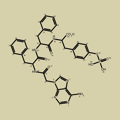 Nc1ncnc2c1ncn2CC(=O)NC(Cc1ccccc1)C(=O)NC(Cc1ccccc1)C(=O)NC(Cc1ccc(OP(=O)(O)O)cc1)C(=O)O